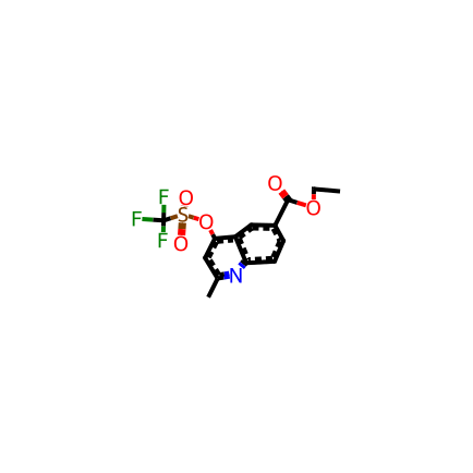 CCOC(=O)c1ccc2nc(C)cc(OS(=O)(=O)C(F)(F)F)c2c1